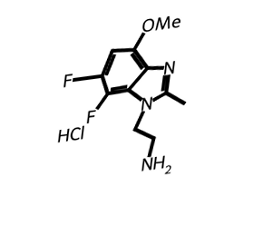 COc1cc(F)c(F)c2c1nc(C)n2CCN.Cl